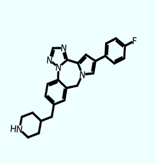 Fc1ccc(-c2cc3n(c2)Cc2cc(CC4CCNCC4)ccc2-n2ncnc2-3)cc1